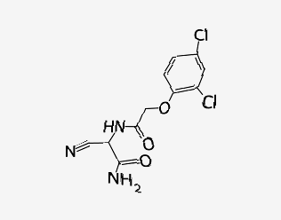 N#CC(NC(=O)COc1ccc(Cl)cc1Cl)C(N)=O